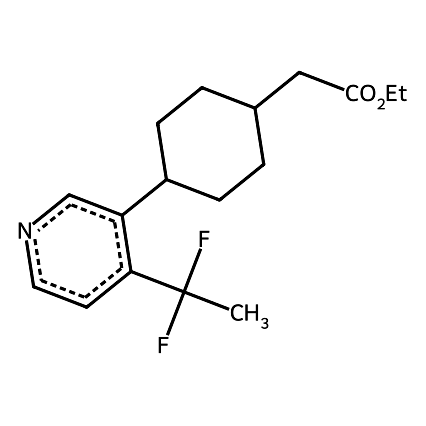 CCOC(=O)CC1CCC(c2cnccc2C(C)(F)F)CC1